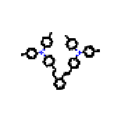 Cc1ccc(N(c2ccc(C)cc2)c2ccc(C=Cc3ccccc3C=Cc3ccc(N(c4ccc(C)cc4)c4ccc(C)cc4)cc3)cc2)cc1